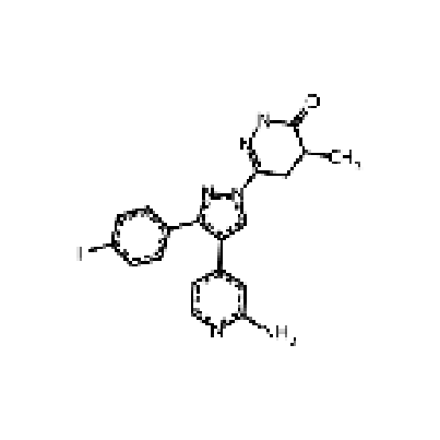 CC1CC(n2cc(-c3ccnc(N)c3)c(-c3ccc(F)cc3)n2)=NNC1=O